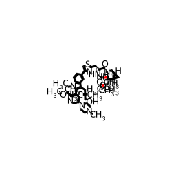 CCn1c(-c2cc(N3CCN(C)CC3)cnc2[C@H](C)OC)c(CC(C)(C)CO)c2cc(-c3csc(C[C@H](NC(=O)OC(C)(C)C)C(=O)N4C[C@@H]5C[C@@H]5[C@@H](C(=O)OC)N4)n3)ccc21